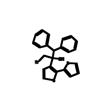 OC(CBr)(c1ccsc1-c1cccs1)C(c1ccccc1)c1ccccc1